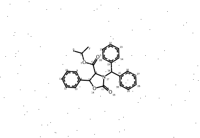 CC(C)OC(=O)C1C(c2ccccc2)OC(=O)N1C(c1ccccc1)c1ccccc1